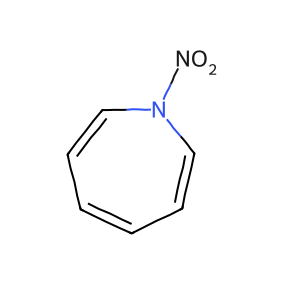 O=[N+]([O-])N1C=CC=CC=C1